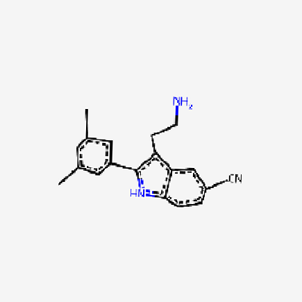 Cc1cc(C)cc(-c2[nH]c3ccc(C#N)cc3c2CCN)c1